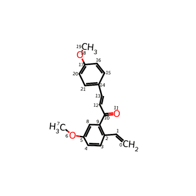 C=Cc1ccc(OC)cc1C(=O)C=Cc1ccc(OC)cc1